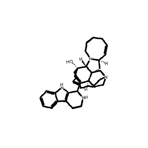 O[C@]12C=C(C3NCCc4c3[nH]c3ccccc43)[C@@H]3CCN(CCCC/C=C/CC1)C[C@@]31C[C@@H]3/C=C\CCCCN3[C@H]12